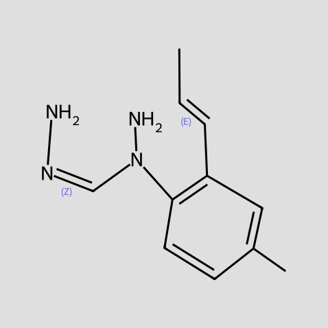 C/C=C/c1cc(C)ccc1N(N)/C=N\N